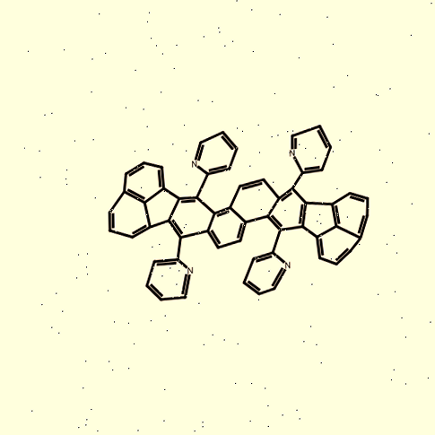 c1ccc(-c2c3c(c(-c4ccccn4)c4c2ccc2c4ccc4c(-c5ccccn5)c5c(c(-c6ccccn6)c42)-c2cccc4cccc-5c24)-c2cccc4cccc-3c24)nc1